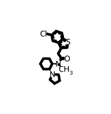 CN(C(=O)Cc1csc2ccc(Cl)cc12)[C@@H]1CCCC[C@H]1N1CCCC1